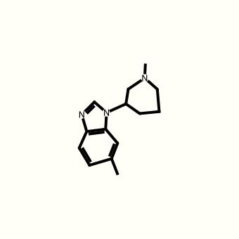 Cc1ccc2ncn(C3CCCN(C)C3)c2c1